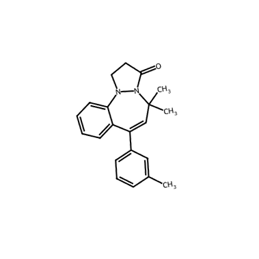 Cc1cccc(C2=CC(C)(C)N3C(=O)CCN3c3ccccc32)c1